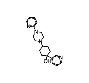 OC1(c2cccnc2)CCC(N2CCN(c3ccccn3)CC2)CC1